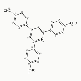 O=Cc1ccc(-c2cc(-c3ccc(C=O)cc3)nc(-c3ccc(C=O)cc3)n2)cc1